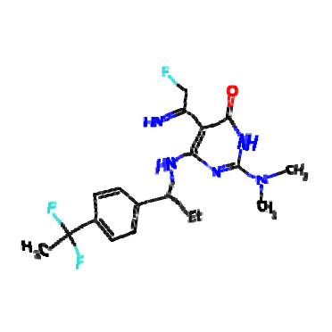 CCC(Nc1nc(N(C)C)[nH]c(=O)c1C(=N)CF)c1ccc(C(C)(F)F)cc1